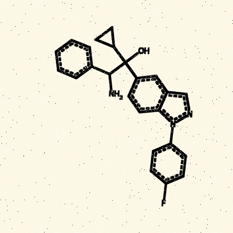 NC(c1ccccc1)C(O)(c1ccc2c(cnn2-c2ccc(F)cc2)c1)C1CC1